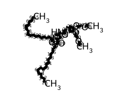 CCCCC/C=C\C/C=C\CCCCCCCCOC(=O)C1CC(NC(=O)CN2C[C@H](OCCOCC)[C@H](OCCOCC)C2)CN1C(=O)CCCCCCC/C=C\C/C=C\CCCCC